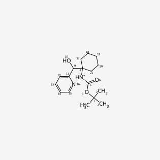 CC(C)(C)OC(=O)NC1(C(O)c2ccccn2)CCCCC1